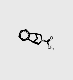 O=C(N1C=C2CC(C1)c1ccccc12)C(F)(F)F